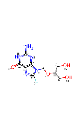 Nc1nc2c(nc(F)n2COC(CO)CO)c(=O)[nH]1